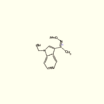 CO/N=C(/C)c1cn(CC(C)(C)C)c2ccccc12